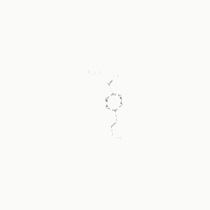 CC(C)(C)OC(=O)c1ccc(C=CO)cc1